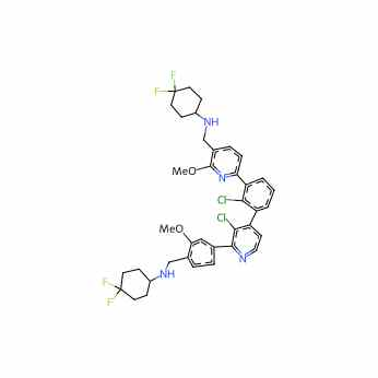 COc1cc(-c2nccc(-c3cccc(-c4ccc(CNC5CCC(F)(F)CC5)c(OC)n4)c3Cl)c2Cl)ccc1CNC1CCC(F)(F)CC1